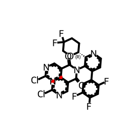 O=C(c1cnc(Cl)nc1)N(C(=O)c1cnc(Cl)nc1)c1c(-c2cc(F)c(F)cc2F)ccnc1[C@H]1CCC(F)(F)CO1